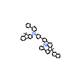 CC1(C)c2ccccc2-c2ccc(N(c3ccc(-c4ccc5c6ccc7c8c6n(c5c4)-c4ccccc4-c4cccc(c4-8)C7(C)c4ccc5ccccc5c4)cc3)c3cccc(-c4ccccc4)c3)cc21